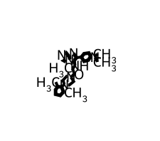 Cc1cccc(C)c1N1CCN(C(=O)C(C)Nc2c(-c3ccc(N(C)C)cc3)nc3cnccn23)CC1